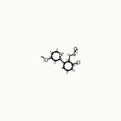 COc1ccnc(-c2cccc(Cl)c2C[S+]=O)c1